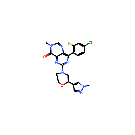 Cn1cc(C2CN(c3nc(-c4ccc(Cl)cc4F)c4ncn(C)c(=O)c4n3)CCO2)cn1